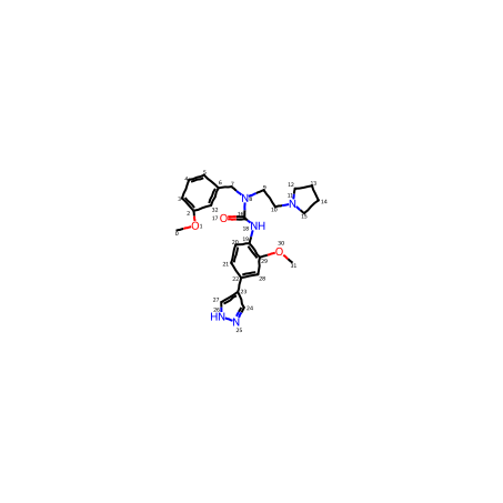 COc1cccc(CN(CCN2CCCC2)C(=O)Nc2ccc(-c3cn[nH]c3)cc2OC)c1